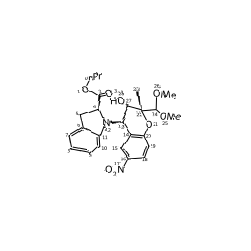 CCCOC(=O)[C@@H]1Cc2ccccc2N1[C@@H]1c2cc([N+](=O)[O-])ccc2O[C@@](C)(C(OC)OC)[C@H]1O